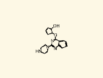 OC1CCCC1Oc1nc(N2CCNCC2)nc2ccccc12